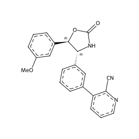 COc1cccc([C@H]2OC(=O)N[C@@H]2c2cccc(-c3cccnc3C#N)c2)c1